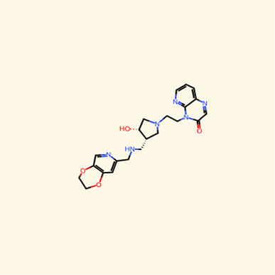 O=c1cnc2cccnc2n1CCN1C[C@H](CNCc2cc3c(cn2)OCCO3)[C@H](O)C1